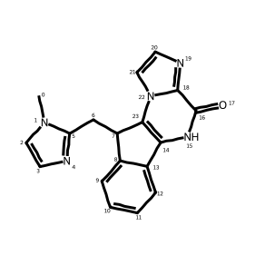 Cn1ccnc1CC1c2ccccc2-c2[nH]c(=O)c3nccn3c21